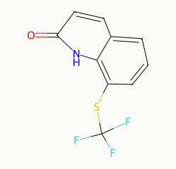 O=c1ccc2cccc(SC(F)(F)F)c2[nH]1